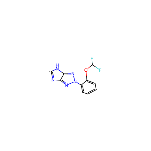 FC(F)Oc1ccccc1-n1nc2n[c][nH]c2n1